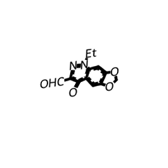 CCn1nc(C=O)c(=O)c2cc3c(cc21)OCO3